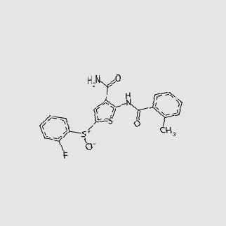 Cc1ccccc1C(=O)Nc1sc([S+]([O-])c2ccccc2F)cc1C(N)=O